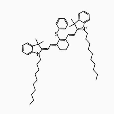 CCCCCCCCCCN1/C(=C/C=C2\CCCC(/C=C/C3=[N+](CCCCCCCCCC)c4ccccc4C3(C)C)=C2Sc2ccccc2)C(C)(C)c2ccccc21